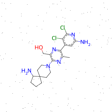 Cc1nc(N2CCC3(CCCC3N)CC2)c(CO)nc1-c1cc(N)nc(Cl)c1Cl